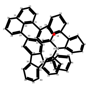 c1ccc(-c2ccccc2N(c2ccccc2)c2ccc(-c3cccc4cccc(-c5ccc6c(c5)c5ccccc5n6-c5ccccc5)c34)cc2)cc1